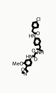 COc1cc(NC(=O)C(=O)NC(C)(C)Cc2ccc(NC(=O)Cc3ccc(Cl)cc3)cc2)ccc1-c1cnco1